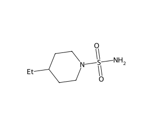 CCC1CCN(S(N)(=O)=O)CC1